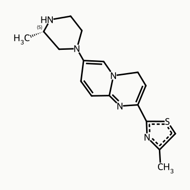 Cc1csc(C2=CCN3C=C(N4CCN[C@@H](C)C4)C=CC3=N2)n1